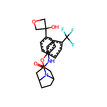 O=C(Nc1ccc(C2(O)COC2)cc1)N1C2CCC1CC(Oc1ccc(C(F)(F)F)cc1)C2